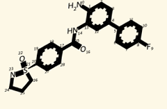 Nc1ccc(-c2ccc(F)cc2)cc1NC(=O)c1ccc([S@]2(=O)=NCCC2)cc1